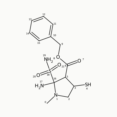 CN1CC(S)C(C(=O)OCc2ccccc2)C1(N)S(N)(=O)=O